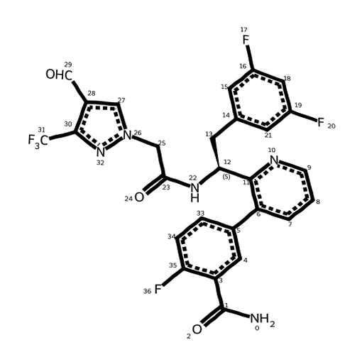 NC(=O)c1cc(-c2cccnc2[C@H](Cc2cc(F)cc(F)c2)NC(=O)Cn2cc(C=O)c(C(F)(F)F)n2)ccc1F